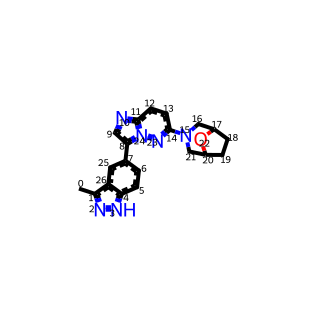 Cc1n[nH]c2ccc(-c3cnc4ccc(N5CC6CCC(C5)O6)nn34)cc12